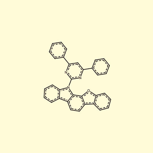 c1ccc(-c2cc(-c3ccccc3)nc(-n3c4ccccc4c4ccc5c6ccccc6oc5c43)n2)cc1